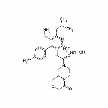 Cc1ccc(-c2c(CC(=O)N3CCN4C(=O)COCC4C3)c(C)nc(CC(C)C)c2CN)cc1.Cl.Cl